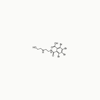 O=C(O)c1c(Br)c(Br)c(Br)c(Br)c1C(=O)NCCNCCO